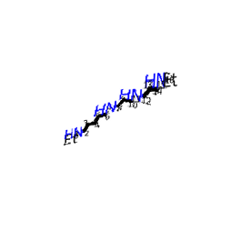 CCNCCCCCNCCCNCCCNCC